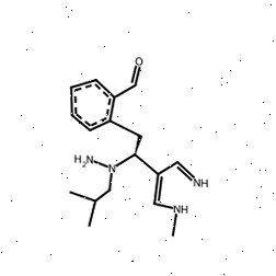 CN/C=C(\C=N)[C@H](Cc1ccccc1C=O)N(N)CC(C)C